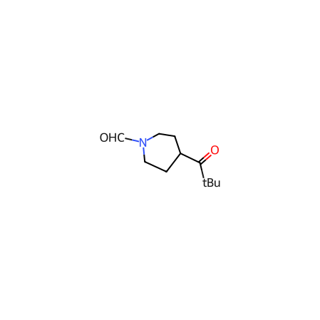 CC(C)(C)C(=O)C1CCN(C=O)CC1